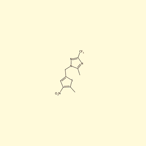 Cc1sc(Cn2nc(C(F)(F)F)nc2C)cc1[N+](=O)[O-]